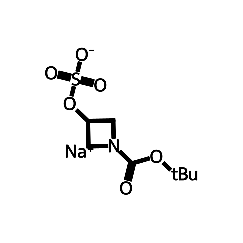 CC(C)(C)OC(=O)N1CC(OS(=O)(=O)[O-])C1.[Na+]